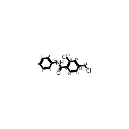 O=C(Nc1ccccc1)c1ccc(CCl)cc1Cl